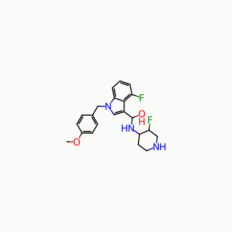 COc1ccc(Cn2cc(C(O)NC3CCNCC3F)c3c(F)cccc32)cc1